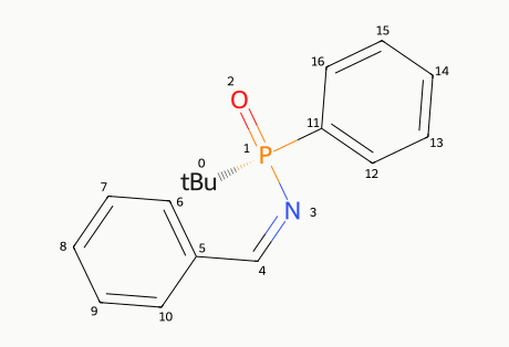 CC(C)(C)[P@@](=O)(/N=C\c1ccccc1)c1ccccc1